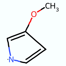 COC1=C[N]C=C1